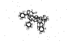 CC(C)[C@@H]1C(=O)N(CC(=O)NC(Cc2ccccc2)C(O)C(F)(F)F)C(c2ccccc2)=CN1C(=O)c1ccccc1